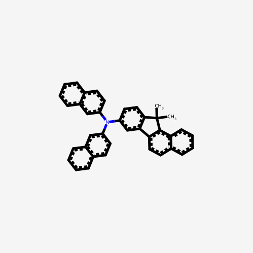 CC1(C)c2ccc(N(c3ccc4ccccc4c3)c3ccc4ccccc4c3)cc2-c2ccc3ccccc3c21